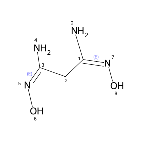 N/C(C/C(N)=N\O)=N/O